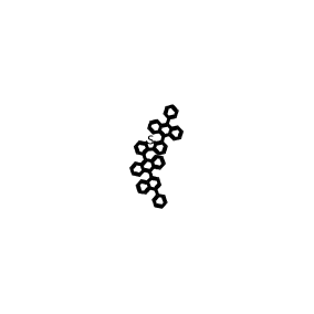 c1ccc(-c2ccc(-c3c4ccccc4c(-c4cccc5sc6c(-c7c8ccccc8c(-c8ccccc8)c8ccccc78)cccc6c45)c4ccccc34)c3ccccc23)cc1